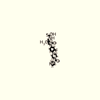 C[C@]1(CNC(O)=S)CN(c2ccc(N3CCN(C(=O)n4ccnc4)CC3)c(F)c2)C(=O)O1